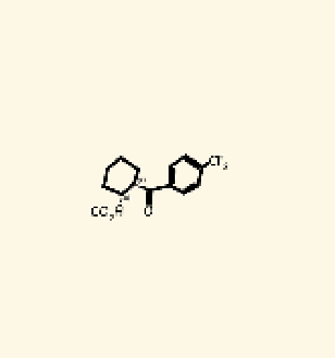 O=C(O)[C@@H]1CCCC[C@H]1C(=O)c1ccc(C(F)(F)F)cc1